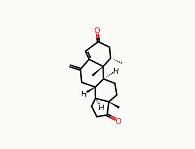 C=C1C[C@@H]2[C@H](CC[C@]3(C)C(=O)CC[C@@H]23)[C@]2(C)C1=CC(=O)C[C@@H]2C